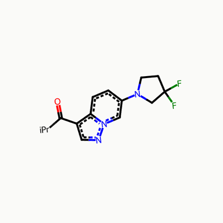 CC(C)C(=O)c1cnn2cc(N3CCC(F)(F)C3)ccc12